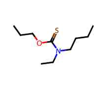 CCCCN(CC)C(=S)OCCC